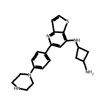 NC1CC(Nc2cc(-c3ccc(N4CCNCC4)cc3)nc3ccsc23)C1